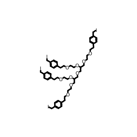 ICc1ccc(CCOCCOCC(COCC(COCCOCCc2ccc(CI)cc2)OCCOCCc2ccc(CI)cc2)OCCOCCc2ccc(CI)cc2)cc1